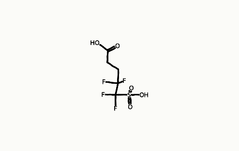 O=C(O)CCC(F)(F)C(F)(F)S(=O)(=O)O